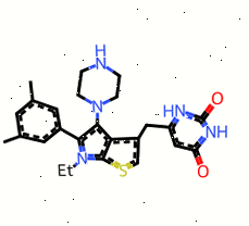 CCn1c(-c2cc(C)cc(C)c2)c(N2CCNCC2)c2c(Cc3cc(=O)[nH]c(=O)[nH]3)csc21